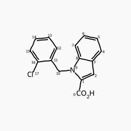 O=C(O)c1cc2ccccc2n1Cc1ccccc1Cl